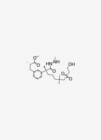 CNNC(=O)[C@](C)(CCCC(C)(C)CS(=O)(=O)CCO)c1cccc(C[C@H](C)C(=O)OC)c1